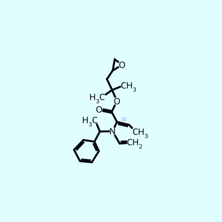 C=CN(/C(=C\C)C(=O)OC(C)(C)CC1CO1)C(C)c1ccccc1